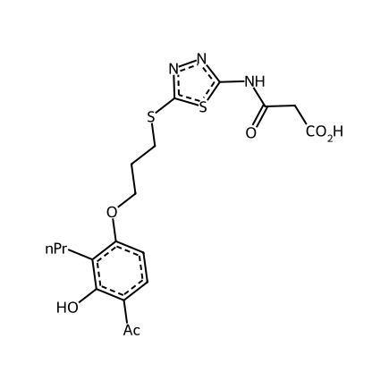 CCCc1c(OCCCSc2nnc(NC(=O)CC(=O)O)s2)ccc(C(C)=O)c1O